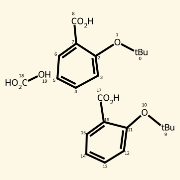 CC(C)(C)Oc1ccccc1C(=O)O.CC(C)(C)Oc1ccccc1C(=O)O.O=C(O)O